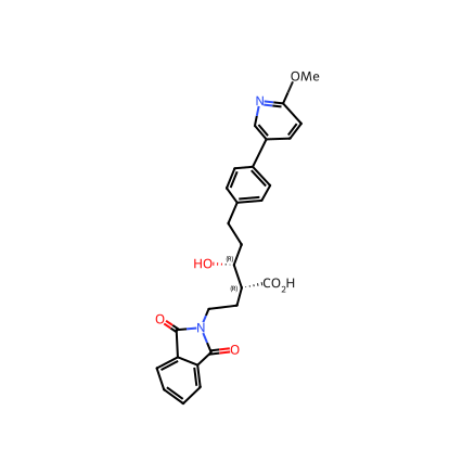 COc1ccc(-c2ccc(CC[C@@H](O)[C@@H](CCN3C(=O)c4ccccc4C3=O)C(=O)O)cc2)cn1